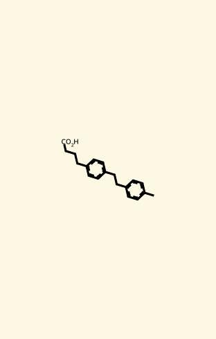 Cc1ccc(CCc2ccc(CCCC(=O)O)cc2)cc1